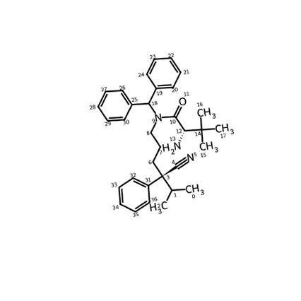 CC(C)[C@@](C#N)(CCCN(C(=O)[C@@H](N)C(C)(C)C)C(c1ccccc1)c1ccccc1)c1ccccc1